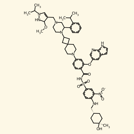 COC1NN(C(C)C)C=C1CN1CCN(C2CC3(CCN(c4ccc(C(=O)NS(=O)(=O)c5ccc(NC[C@H]6CC[C@](C)(O)CC6)c([N+](=O)[O-])c5)c(Oc5cnc6[nH]ccc6c5)c4)CC3)C2)C(c2ccccc2C(C)C)C1